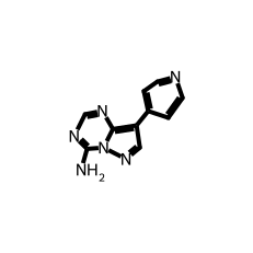 Nc1ncnc2c(-c3ccncc3)cnn12